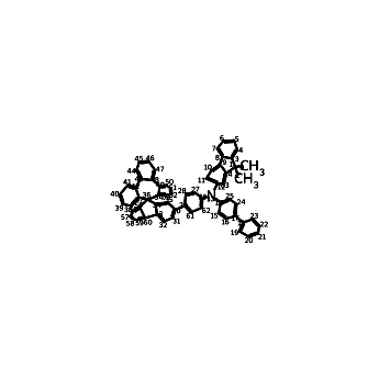 CC1(C)c2ccccc2-c2ccc(N(c3ccc(-c4ccccc4)cc3)c3ccc(-c4ccc5c(c4)C4(c6ccccc6-c6ccccc6-c6ccccc64)c4ccccc4-5)cc3)cc21